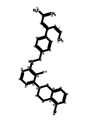 C=C(C)/C=C(\C=C/C)c1ccc(CNc2ncnc(N3CCc4c(Br)cccc4C3)c2F)cc1